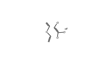 C=COC=C.ClC=C(Cl)Cl.F